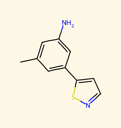 Cc1cc(N)cc(-c2ccns2)c1